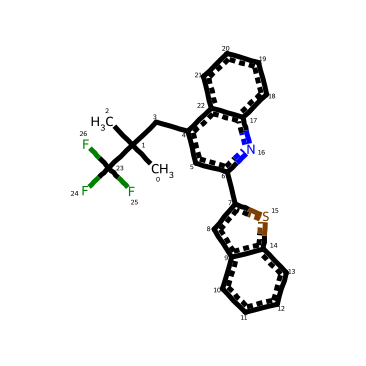 CC(C)(Cc1cc(-c2cc3ccccc3s2)nc2ccccc12)C(F)(F)F